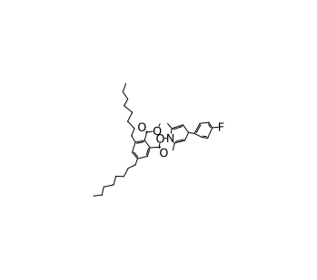 CCCCCCCCc1cc(CCCCCCCC)c(C(=O)OC)c(C(=O)ON2C(C)=CC(c3ccc(F)cc3)C=C2C)c1